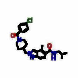 Cc1c(C(=O)NCC(C)C)ccc2nn(CC3CCN(C(=O)c4ccc(Cl)cc4)CC3)cc12